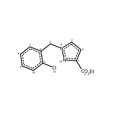 CCOC(=O)c1ccn(Cc2ccccc2Cl)n1